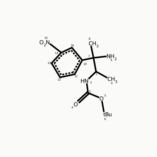 CC(NC(=O)OC(C)(C)C)C(C)(N)c1cccc([N+](=O)[O-])c1